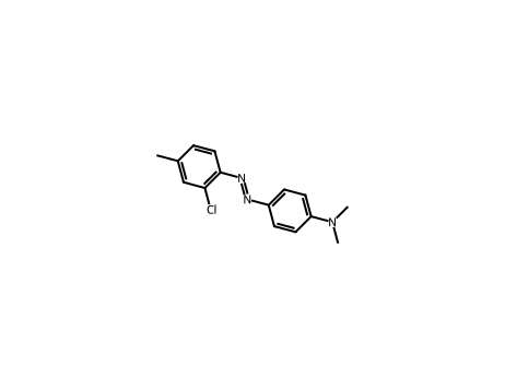 Cc1ccc(/N=N/c2ccc(N(C)C)cc2)c(Cl)c1